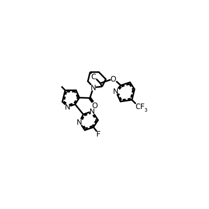 Cc1cnc(-c2ncc(F)cn2)c(C(=O)N2CC3CCC2C(Oc2ccc(C(F)(F)F)cn2)C3)c1